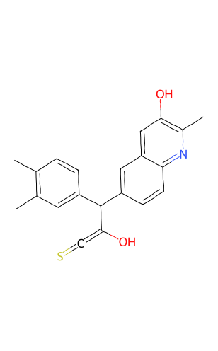 Cc1ccc(C(C(O)=C=S)c2ccc3nc(C)c(O)cc3c2)cc1C